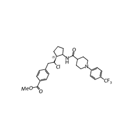 COC(=O)c1ccc(CC(Cl)[C@H]2CCCC2NC(=O)C2CCN(c3ccc(C(F)(F)F)cc3)CC2)cc1